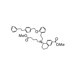 COC(=O)CCCCN(CCc1ccccc1OCc1ccc(CCc2ccccc2)cc1)C1CCCc2cc(C(=O)OC)ccc21